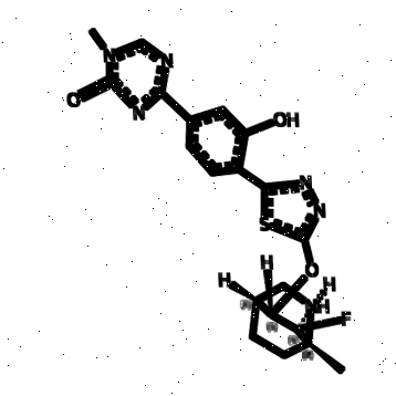 Cn1cnc(-c2ccc(-c3nnc(O[C@H]4[C@@H]5CC[C@@](C)(NC5)[C@@H]4F)s3)c(O)c2)nc1=O